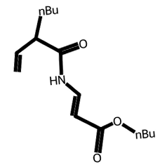 C=CC(CCCC)C(=O)NC=CC(=O)OCCCC